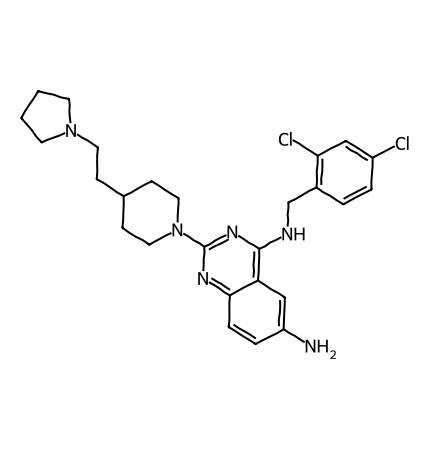 Nc1ccc2nc(N3CCC(CCN4CCCC4)CC3)nc(NCc3ccc(Cl)cc3Cl)c2c1